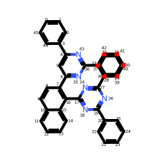 c1ccc(-c2cc(-c3ccc4ccccc4c3-c3nc(-c4ccccc4)nc(-c4ccccc4)n3)nc(-c3ccccc3)n2)cc1